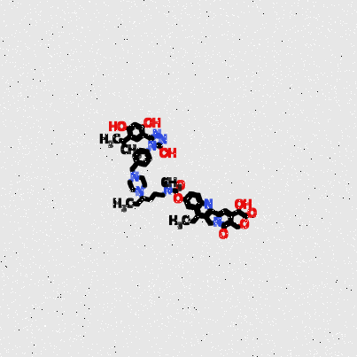 CCc1c2c(nc3ccc(OC(=O)N(C)CCCC(CC)N4CCN(Cc5ccc(-n6c(O)nnc6-c6cc(C(C)C)c(O)cc6O)cc5)CC4)cc13)-c1cc3c(c(=O)n1C2)COC(=O)C3O